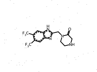 O=C1CNCCN1Cc1nc2cc(C(F)(F)F)c(C(F)(F)F)cc2[nH]1